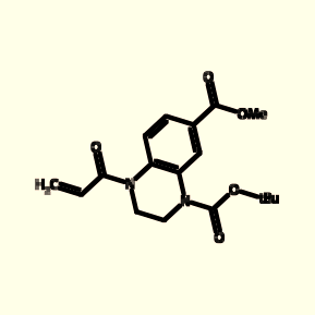 C=CC(=O)N1CCN(C(=O)OC(C)(C)C)c2cc(C(=O)OC)ccc21